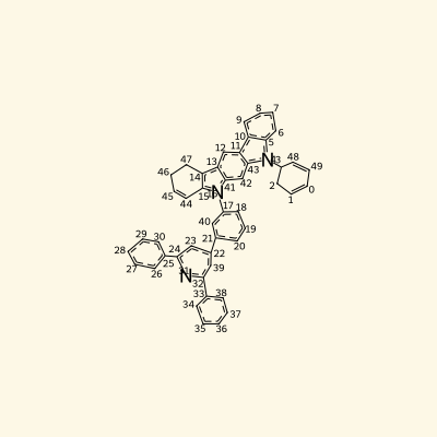 C1=CCC(n2c3ccccc3c3cc4c5c(n(-c6cccc(-c7cc(-c8ccccc8)nc(-c8ccccc8)c7)c6)c4cc32)C=CCC5)C=C1